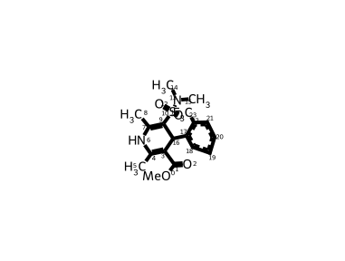 COC(=O)C1=C(C)NC(C)=C(S(=O)(=O)N(C)C)C1c1ccccc1C(F)(F)F